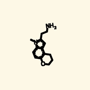 Cn1c(CCN)cc2c3c(ccc21)OCCC3